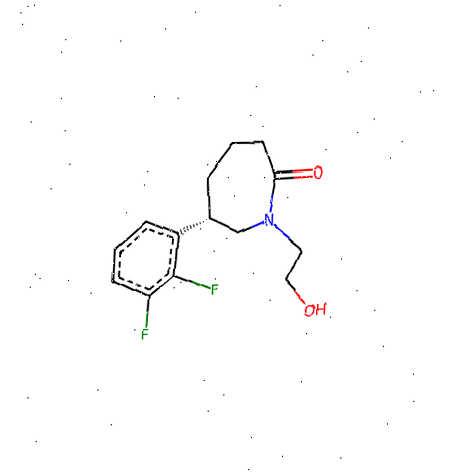 O=C1CCC[C@@H](c2cccc(F)c2F)CN1CCO